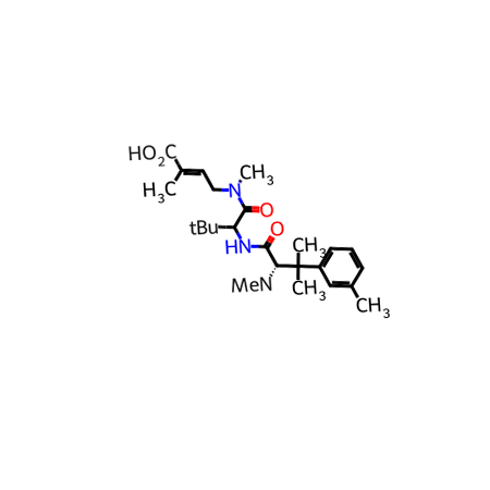 CN[C@H](C(=O)NC(C(=O)N(C)C/C=C(\C)C(=O)O)C(C)(C)C)C(C)(C)c1cccc(C)c1